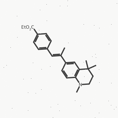 CCOC(=O)c1ccc(C=C(C)c2ccc3c(c2)C(C)(C)CCN3C)cc1